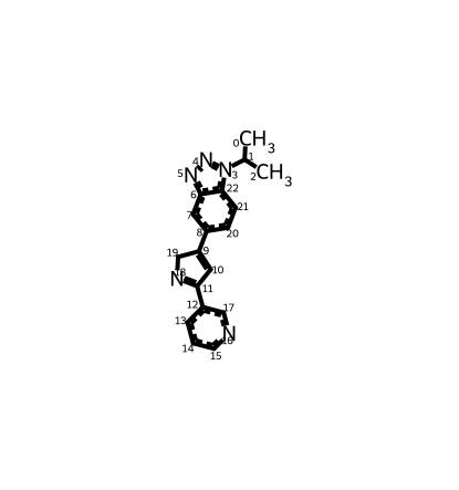 CC(C)n1nnc2cc(C3=CC(c4cccnc4)=NC3)ccc21